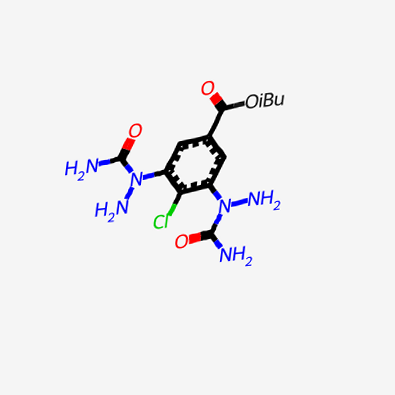 CC(C)COC(=O)c1cc(N(N)C(N)=O)c(Cl)c(N(N)C(N)=O)c1